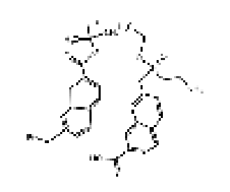 CC(C)(C)OC(=O)c1ccc2ccc(CBr)cc2c1.CCOP(=O)(Cc1ccc2ccc(C(=O)O)cc2c1)OCC